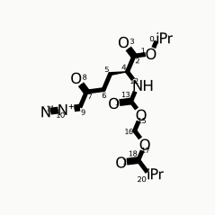 CC(C)OC(=O)[C@H](CCC(=O)C=[N+]=[N-])NC(=O)OCOC(=O)C(C)C